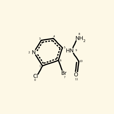 Clc1ncccc1Br.NNC=O